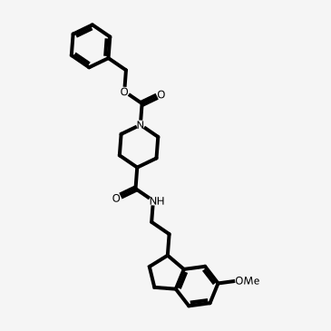 COc1ccc2c(c1)C(CCNC(=O)C1CCN(C(=O)OCc3ccccc3)CC1)CC2